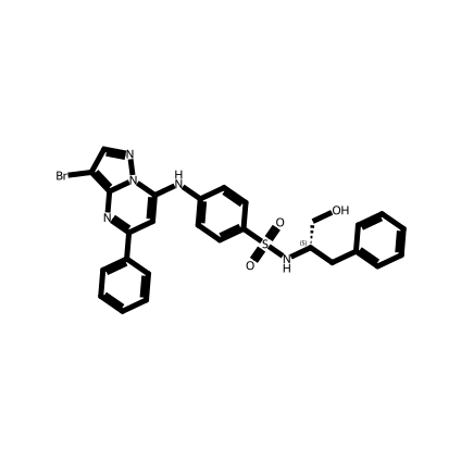 O=S(=O)(N[C@H](CO)Cc1ccccc1)c1ccc(Nc2cc(-c3ccccc3)nc3c(Br)cnn23)cc1